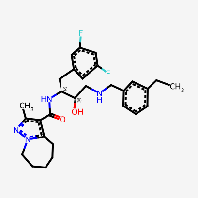 CCc1cccc(CNC[C@@H](O)[C@H](Cc2cc(F)cc(F)c2)NC(=O)c2c(C)nn3c2CCCCC3)c1